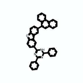 c1ccc(C2=NC(c3ccccc3)NC(c3ccc4oc5ccc(-c6cc7ccccc7c7ccccc67)cc5c4c3)=N2)cc1